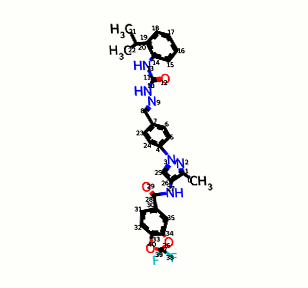 Cc1nn(-c2ccc(/C=N/NC(=O)Nc3ccccc3C(C)C)cc2)cc1NC(=O)c1ccc2c(c1)OC(F)(F)O2